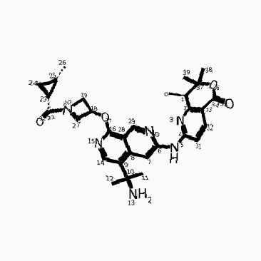 C[C@@H]1c2nc(Nc3cc4c(C(C)(C)N)cnc(OC5CN(C(=O)[C@@H]6C[C@@H]6C)C5)c4cn3)ccc2C(=O)OC1(C)C